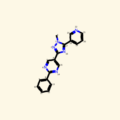 Cn1nc(-c2cnc(-c3ccccc3)nc2)nc1-c1cccnc1